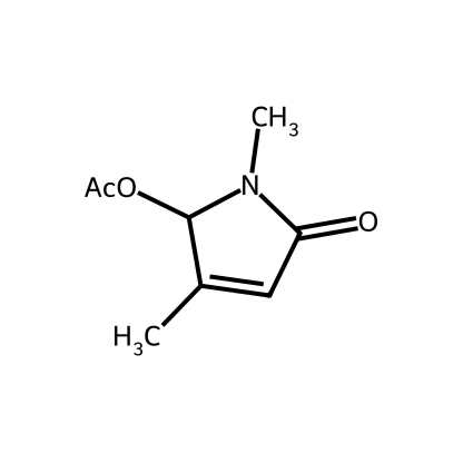 CC(=O)OC1C(C)=CC(=O)N1C